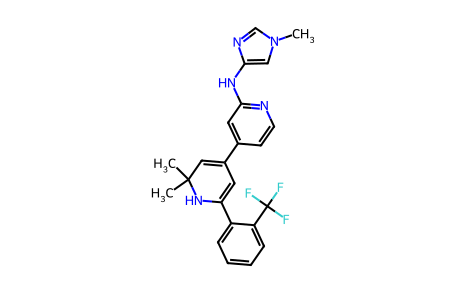 Cn1cnc(Nc2cc(C3=CC(C)(C)NC(c4ccccc4C(F)(F)F)=C3)ccn2)c1